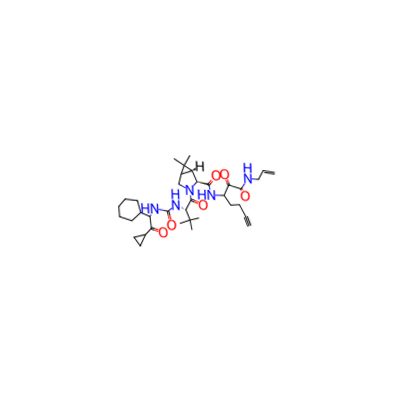 C#CCCC(NC(=O)[C@@H]1[C@@H]2C(CN1C(=O)[C@@H](NC(=O)N[C@H](C(=O)C1CC1)C1CCCCC1)C(C)(C)C)C2(C)C)C(=O)C(=O)NCC=C